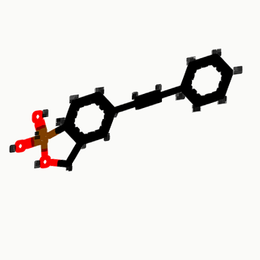 O=S1(=O)OCc2cc(C#Cc3ccccc3)ccc21